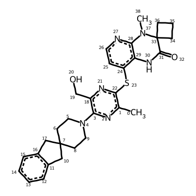 Cc1nc(N2CCC3(CC2)Cc2ccccc2C3)c(CO)nc1Sc1ccnc2c1NC(=O)C1(CCC1)N2C